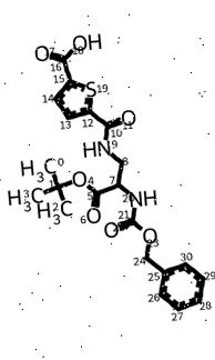 CC(C)(C)OC(=O)C(CNC(=O)c1ccc(C(=O)O)s1)NC(=O)OCc1ccccc1